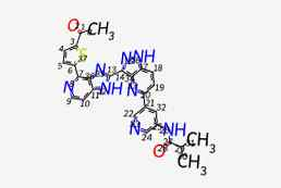 CC(=O)c1ccc(-c2nccc3[nH]c(-c4n[nH]c5ccc(-c6cncc(NC(=O)C(C)C)c6)nc45)nc23)s1